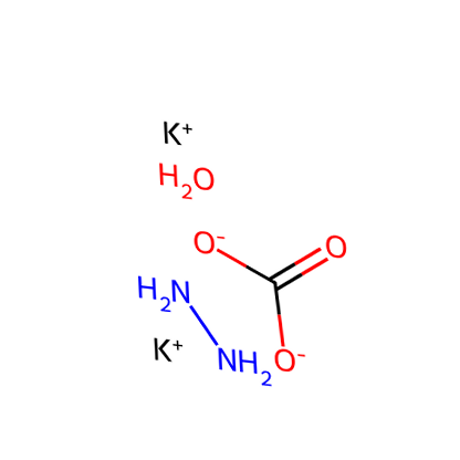 NN.O.O=C([O-])[O-].[K+].[K+]